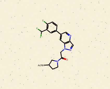 CC(=O)NC1CCN(C(=O)Cn2ncc3ncc(-c4ccc(F)c(C(F)F)c4)cc32)C1